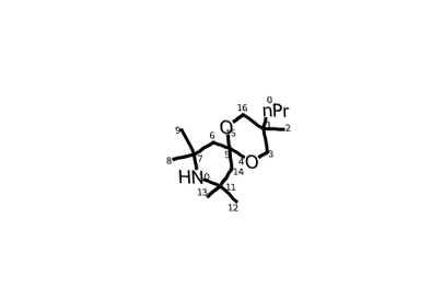 CCCC1(C)COC2(CC(C)(C)NC(C)(C)C2)OC1